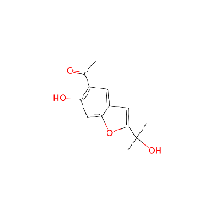 CC(=O)c1cc2cc(C(C)(C)O)oc2cc1O